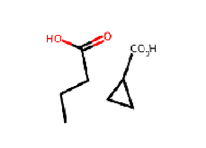 CCCC(=O)O.O=C(O)C1CC1